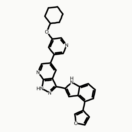 c1cc(-c2ccoc2)c2cc(-c3n[nH]c4ncc(-c5cncc(OC6CCCCC6)c5)cc34)[nH]c2c1